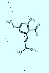 CSc1cc(C)c([N+](=O)[O-])c(C=CN(C)C)c1